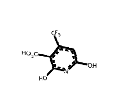 O=C(O)c1c(C(F)(F)F)cc(O)nc1O